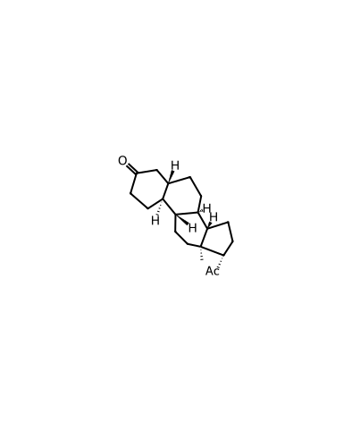 CC(=O)[C@H]1CC[C@H]2[C@@H]3CC[C@H]4CC(=O)CC[C@@H]4[C@H]3CC[C@]12C